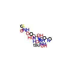 CC(C)(C)C(NO)C(=O)NN(Cc1ccc(-c2ccccn2)cc1)CC(O)C(Cc1ccc(OCCNC(=O)c2cccs2)cc1)NO